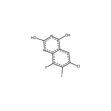 Oc1nc(O)c2cc(Cl)c(I)c(F)c2n1